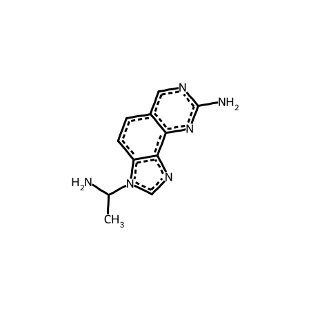 CC(N)n1cnc2c3nc(N)ncc3ccc21